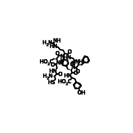 N=C(N)NCCC[C@H](NC(=O)[C@H](CC(=O)O)NC(=O)CNC(=O)[C@@H](N)CS)C(=O)NCC(=O)N[C@@H](Cc1ccccc1)C(=O)N[C@@H](Cc1ccccc1)C(=O)N[C@@H](Cc1ccc(O)cc1)C(=O)O